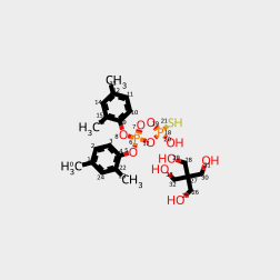 Cc1ccc(OP(=O)(Oc2ccc(C)cc2C)OP(=O)(O)S)c(C)c1.OCC(CO)(CO)CO